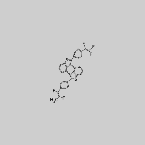 C/C(F)=C(\F)c1ccc(-c2sc3cccc4c5c(-c6ccc(C(F)=C(F)F)cc6)sc6cccc(c2c34)c65)cc1